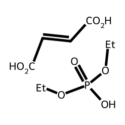 CCOP(=O)(O)OCC.O=C(O)C=CC(=O)O